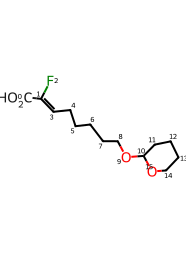 O=C(O)C(F)=CCCCCCOC1CCCCO1